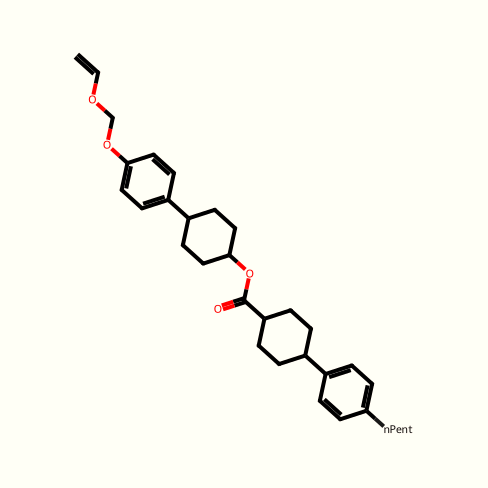 C=COCOc1ccc(C2CCC(OC(=O)C3CCC(c4ccc(CCCCC)cc4)CC3)CC2)cc1